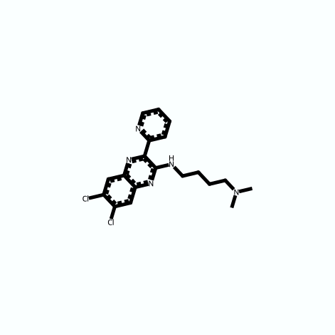 CN(C)CCCCNc1nc2cc(Cl)c(Cl)cc2nc1-c1ccccn1